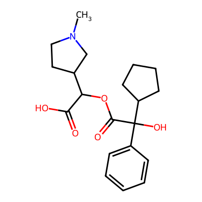 CN1CCC(C(OC(=O)C(O)(c2ccccc2)C2CCCC2)C(=O)O)C1